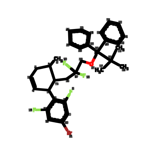 CC1CC=CC(c2c(F)cc(Br)cc2F)C1CC(F)(F)CO[Si](c1ccccc1)(c1ccccc1)C(C)(C)C